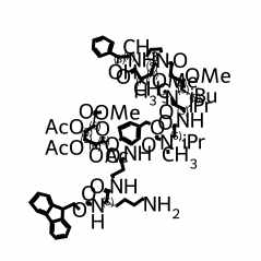 CC[C@H](C)[C@@H]([C@@H](CC(=O)N1CCC[C@H]1[C@H](OC)[C@@H](C)C(=O)N[C@H](C)[C@@H](O)c1ccccc1)OC)N(C)C(=O)[C@@H](NC(=O)[C@H](C(C)C)N(C)C(=O)OCc1ccc(O[C@@H]2O[C@H](C(=O)OC)[C@@H](OC(C)=O)[C@H](OC(C)=O)[C@H]2OC(C)=O)c(NC(=O)CCNC(=O)[C@H](CCCCN)NC(=O)OCC2c3ccccc3-c3ccccc32)c1)C(C)C